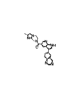 Cc1cn2c(n1)CN(C(=O)c1cnc3[nH]cc(-c4ccc5ncncc5c4)c3c1)CC2